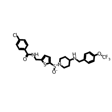 O=C(NCc1ccc([S+]([O-])N2CCC(NCc3ccc(OC(F)(F)F)cc3)CC2)s1)c1ccc(Cl)cc1